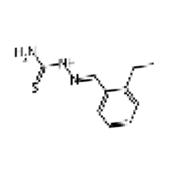 CCc1ccccc1C=NNC(N)=S